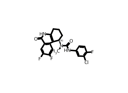 CN(C(=O)Nc1ccc(F)c(Cl)c1)[C@@H]1CCCc2[nH]c(=O)c3cc(F)c(F)cc3c21